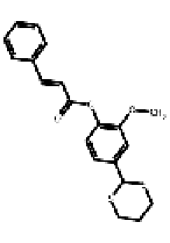 COc1cc(C2SCCCS2)ccc1OC(=O)C=Cc1ccccc1